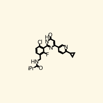 CC(C)C(=O)NCc1ccc(Cl)c(-c2nc(-c3ccc(C4CC4)nc3)cc(=O)[nH]2)c1F